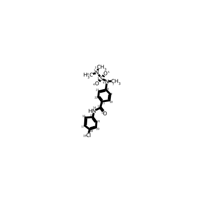 CN(C)S(=O)(=O)N(C)c1ccc(C(=O)Nc2ccc(Cl)cc2)cc1